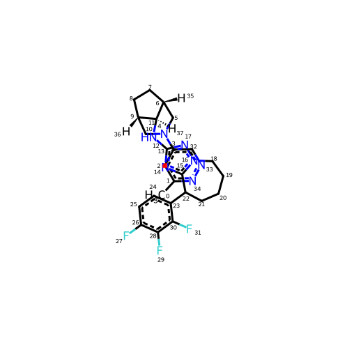 Cc1cc(N2C[C@H]3CC[C@@H](C2)[C@@H]3Nc2nc3n(n2)CCCCC3c2ccc(F)c(F)c2F)cnn1